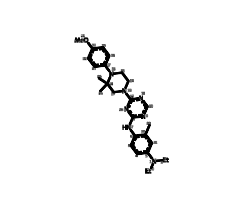 CCN(CC)c1ccc(Nc2ncnc(N3CCN(c4ccc(OC)cc4)C(C)(C)C3)n2)c(C)c1